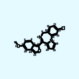 COc1ccc2c(C3=NCc4ccc(Cl)cc4-n4cccc43)occ2c1